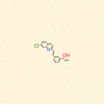 C=CC(O)c1cccc(C=Cc2ccc3ccc(Cl)cc3n2)c1